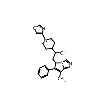 CC1=C(c2ccccc2)C(CC(O)C2CCN(c3cocn3)CC2)n2cncc21